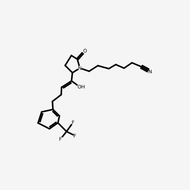 N#CCCCCCCN1C(=O)CCC1/C(O)=C/CCc1cccc(C(F)(F)F)c1